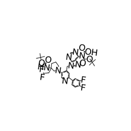 CC(C)(C)OC(=O)NC1(CC(F)F)CCCN(c2cnc(-c3ccc(F)c(F)c3)cc2Cn2cnc3c(N(C(=O)O)C(=O)OC(C)(C)C)ncnc32)C1